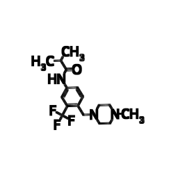 CC(C)C(=O)Nc1ccc(CN2CCN(C)CC2)c(C(F)(F)F)c1